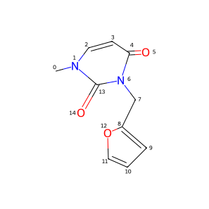 Cn1ccc(=O)n(Cc2ccco2)c1=O